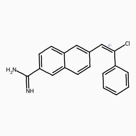 N=C(N)c1ccc2cc(/C=C(/Cl)c3ccccc3)ccc2c1